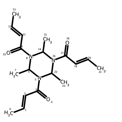 CC=CC(=O)N1C(C)N(C(=O)C=CC)C(C)N(C(=O)C=CC)C1C